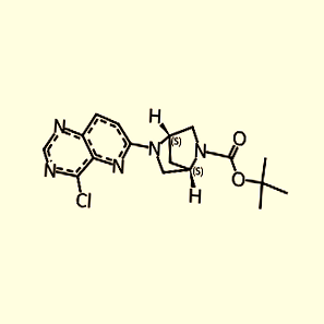 CC(C)(C)OC(=O)N1C[C@@H]2C[C@H]1CN2c1ccc2ncnc(Cl)c2n1